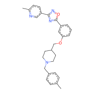 Cc1ccc(CN2CCC(COc3cccc(-c4nc(-c5ccc(C)nc5)no4)c3)CC2)cc1